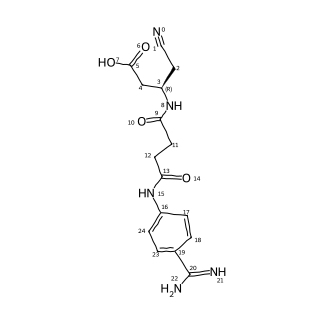 N#CC[C@H](CC(=O)O)NC(=O)CCC(=O)Nc1ccc(C(=N)N)cc1